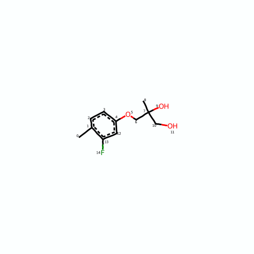 Cc1ccc(OCC(C)(O)CO)cc1F